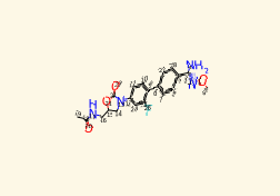 CO/N=C(\N)c1ccc(-c2ccc(N3CC(CNC(C)=O)OC3=O)cc2F)cc1